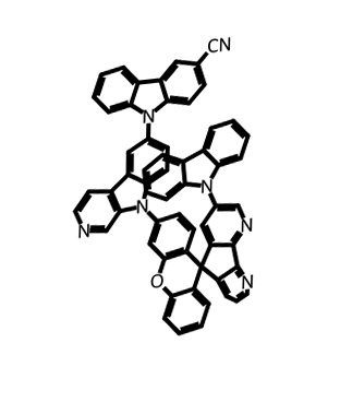 N#Cc1ccc2c(c1)c1ccccc1n2-c1ccc2c(c1)c1ccncc1n2-c1ccc2c(c1)Oc1ccccc1C21c2cccnc2-c2ncc(-n3c4ccccc4c4ccccc43)cc21